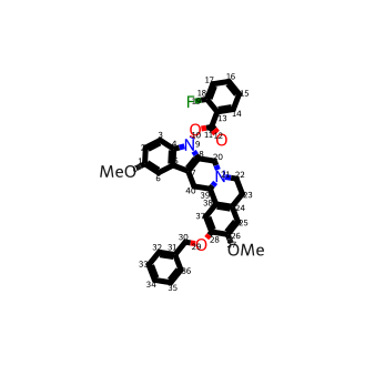 COc1ccc2c(c1)c1c(n2OC(=O)c2ccccc2F)CN2CCc3cc(OC)c(OCc4ccccc4)cc3C2C1